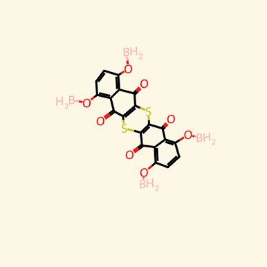 BOc1ccc(OB)c2c(=O)c3sc4c(=O)c5c(OB)ccc(OB)c5c(=O)c4sc3c(=O)c12